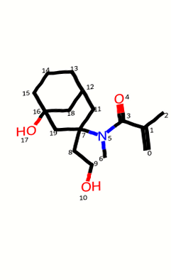 C=C(C)C(=O)N(C)C1(CCO)CC2CCCC(O)(C2)C1